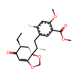 CC[C@H]1C[C@]2([C@@H](C)Cc3cc(C(=O)OC)c(OC)cc3F)OCOC2=CC1=O